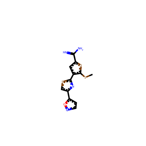 CSc1sc(C(=N)N)cc1-c1nc(-c2ccno2)cs1